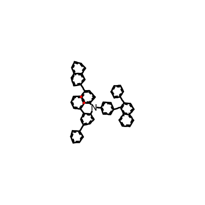 c1ccc(-c2ccc(N(c3ccc(-c4ccc5ccccc5c4)cc3)c3ccc(-c4c(-c5ccccc5)ccc5ccccc45)cc3)c(-c3ccccc3)c2)cc1